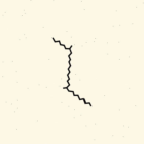 [CH2]C/C=C/CCCCCC(C)CCCCCCCCCCCC(C)CCCCC[CH2]